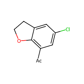 CC(=O)c1cc(Cl)cc2c1OCC2